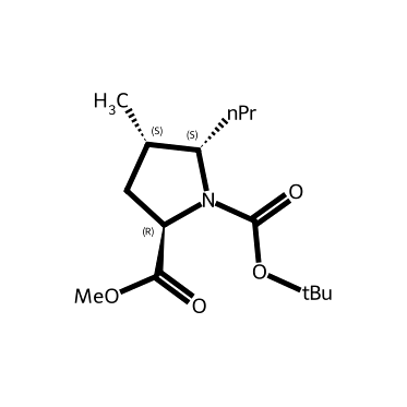 CCC[C@H]1[C@@H](C)C[C@H](C(=O)OC)N1C(=O)OC(C)(C)C